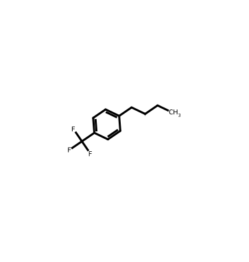 CC[CH]Cc1ccc(C(F)(F)F)cc1